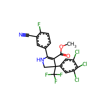 COC(=O)C1=C(c2ccc(F)c(C#N)c2)NCC1(c1cc(Cl)c(Cl)c(Cl)c1)C(F)(F)F